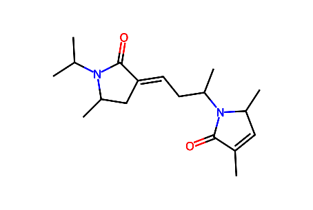 CC1=CC(C)N(C(C)C/C=C2\CC(C)N(C(C)C)C2=O)C1=O